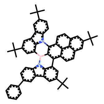 CC(C)(C)c1cc2ccc3c4c5c(c6ccc(c1)c2c36)-n1c2ccc(C(C)(C)C)cc2c2cc(C(C)(C)C)cc(c21)B5n1c2ccc(-c3ccccc3)cc2c2cc(C(C)(C)C)cc-4c21